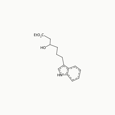 CCOC(=O)CC(O)CCCc1c[nH]c2ccccc12